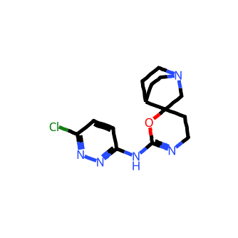 Clc1ccc(NC2=NCCC3(CN4CCC3CC4)O2)nn1